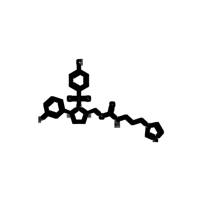 O=C(NCCCn1ccnc1)OC[C@H]1CC[C@@H](c2cccc(F)c2)N1S(=O)(=O)c1ccc(Cl)cc1